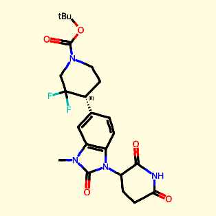 Cn1c(=O)n(C2CCC(=O)NC2=O)c2ccc([C@H]3CCN(C(=O)OC(C)(C)C)CC3(F)F)cc21